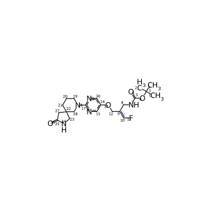 CC(C)(C)OC(=O)NC/C(=C\F)COc1cnc(N2CCCC3(CNC(=O)C3)C2)nc1